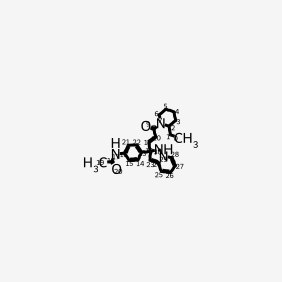 CCC1CCCCN1C(=O)C=CC1(c2ccc(NC(C)=O)cc2)C=C2C=CC=CN2N1